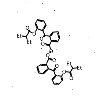 CCC(CC)C(=O)Oc1ccccc1C(=O)c1ccccc1C(=O)OOC(=O)c1ccccc1C(=O)c1ccccc1OC(=O)C(CC)CC